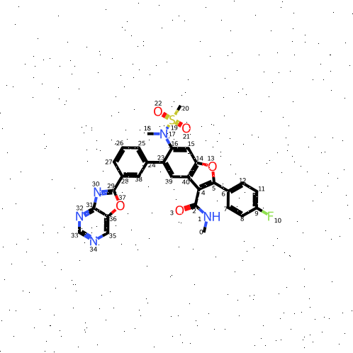 CNC(=O)c1c(-c2ccc(F)cc2)oc2cc(N(C)S(C)(=O)=O)c(-c3cccc(-c4nc5ncncc5o4)c3)cc12